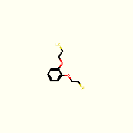 SCCOc1ccccc1OCCS